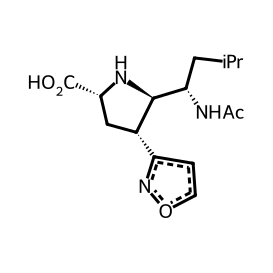 CC(=O)N[C@@H](CC(C)C)[C@@H]1N[C@@H](C(=O)O)C[C@H]1c1ccon1